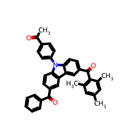 CC(=O)c1ccc(-n2c3ccc(C(=O)c4ccccc4)cc3c3cc(C(=O)c4c(C)cc(C)cc4C)ccc32)cc1